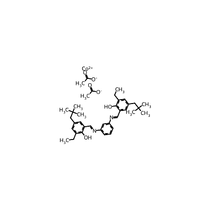 CC(=O)[O-].CC(=O)[O-].CCc1cc(CC(C)(C)C)cc(C=Nc2cccc(N=Cc3cc(CC(C)(C)C)cc(CC)c3O)c2)c1O.[Co+2]